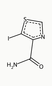 NC(=O)c1ncsc1I